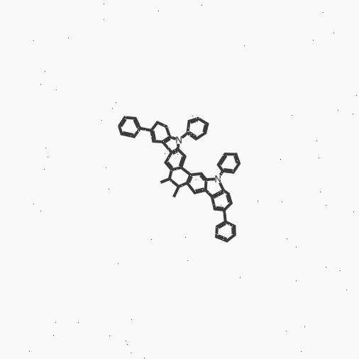 CC1c2cc3c4c(n(-c5ccccc5)c3cc2-c2cc3c(cc2C1C)c1cc(-c2ccccc2)ccc1n3-c1ccccc1)CCC(c1ccccc1)=C4